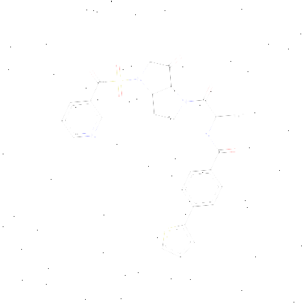 CCCC(NC(=O)c1ccc(-c2cccs2)cc1)C(=O)N1CCC2C1C(=O)CN2S(=O)(=O)C(=O)c1cccnc1